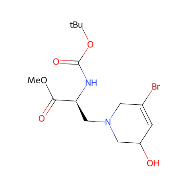 COC(=O)[C@H](CN1CC(Br)=CC(O)C1)NC(=O)OC(C)(C)C